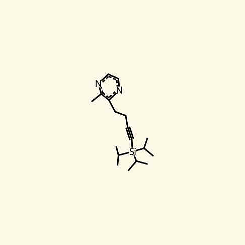 Cc1nccnc1CCC#C[Si](C(C)C)(C(C)C)C(C)C